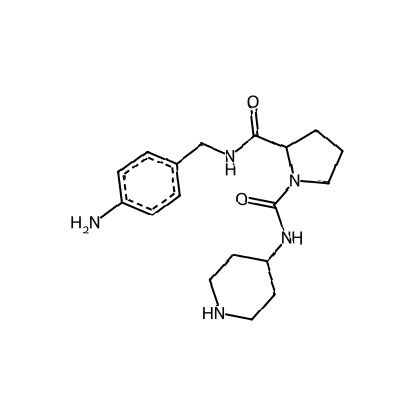 Nc1ccc(CNC(=O)C2CCCN2C(=O)NC2CCNCC2)cc1